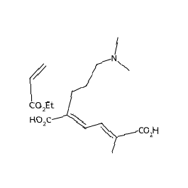 C=CC(=O)OCC.CC(=CC=C(CCCN(C)C)C(=O)O)C(=O)O